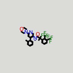 Cc1ccccc1-c1cc(N2CCOCC2)ncc1N(C)C(=O)C(C)(C)c1cccc(C(F)(F)F)c1C(F)(F)F